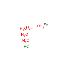 Cl.O.O.O.O.O.[Fe]